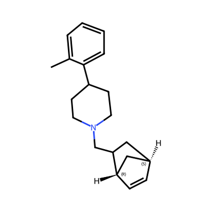 Cc1ccccc1C1CCN(CC2C[C@H]3C=C[C@H]2C3)CC1